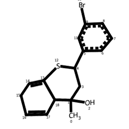 CC1(O)CC(c2cccc(Br)c2)SC2=CCC=CC21